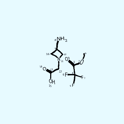 COC(=O)C(F)(F)F.NC1CN(CC(=O)O)C1